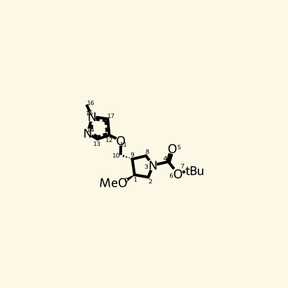 CO[C@@H]1CN(C(=O)OC(C)(C)C)C[C@H]1COc1cnn(C)c1